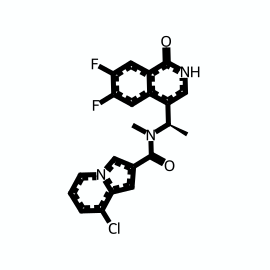 C[C@H](c1c[nH]c(=O)c2cc(F)c(F)cc12)N(C)C(=O)c1cc2c(Cl)cccn2c1